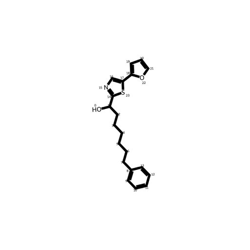 OC(CCCCCCc1ccccc1)c1ncc(-c2ccco2)s1